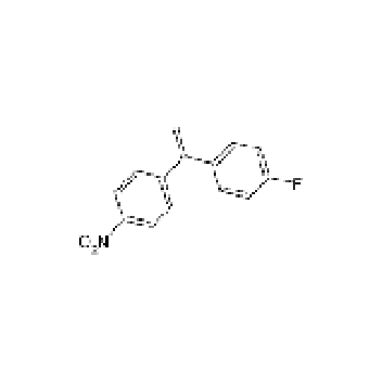 C=C(c1ccc(F)cc1)c1ccc([N+](=O)[O-])cc1